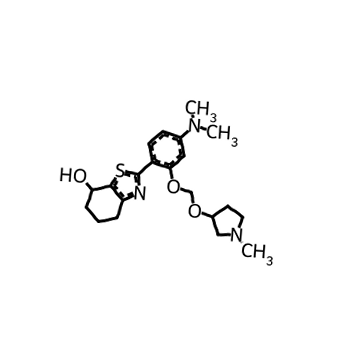 CN1CCC(OCOc2cc(N(C)C)ccc2-c2nc3c(s2)C(O)CCC3)C1